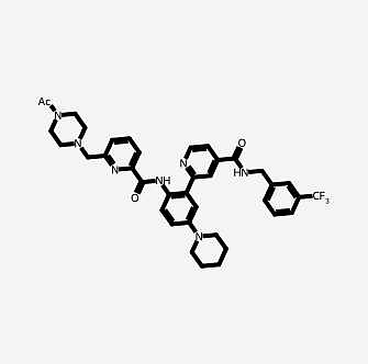 CC(=O)N1CCN(Cc2cccc(C(=O)Nc3ccc(N4CCCCC4)cc3-c3cc(C(=O)NCc4cccc(C(F)(F)F)c4)ccn3)n2)CC1